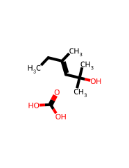 CCC(C)=CC(C)(C)O.O=C(O)O